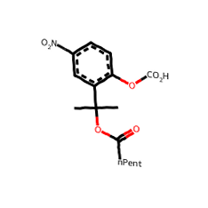 CCCCCC(=O)OC(C)(C)c1cc([N+](=O)[O-])ccc1OC(=O)O